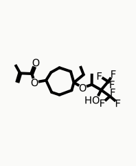 C=C(C)C(=O)OC1CCCC(CC)(OC(C)C(O)(C(F)(F)F)C(F)(F)F)CCC1